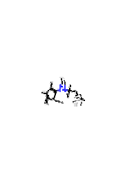 CC1=C(C)C(C)C([N]([Ti])C(C)(C)C[SiH](C)C)=C1C